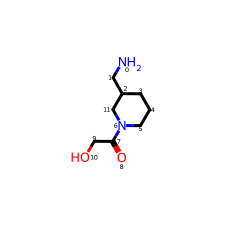 NCC1CCCN(C(=O)CO)C1